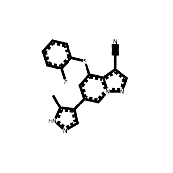 Cc1[nH]ncc1-c1cc(Sc2ccccc2F)c2c(C#N)cnn2c1